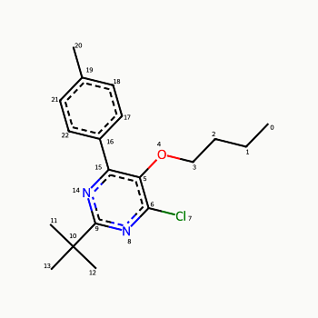 CCCCOc1c(Cl)nc(C(C)(C)C)nc1-c1ccc(C)cc1